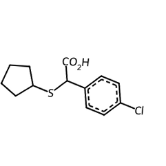 O=C(O)C(SC1CCCC1)c1ccc(Cl)cc1